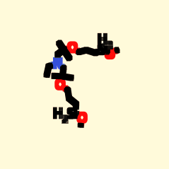 CCN(CC(C)(C)OCCC[SiH2]OC)CC(C)(C)OCCC[SiH2]OC